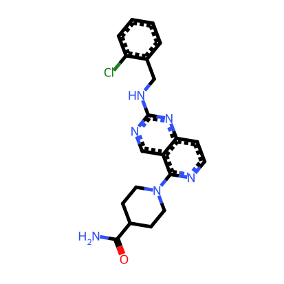 NC(=O)C1CCN(c2nccc3nc(NCc4ccccc4Cl)ncc23)CC1